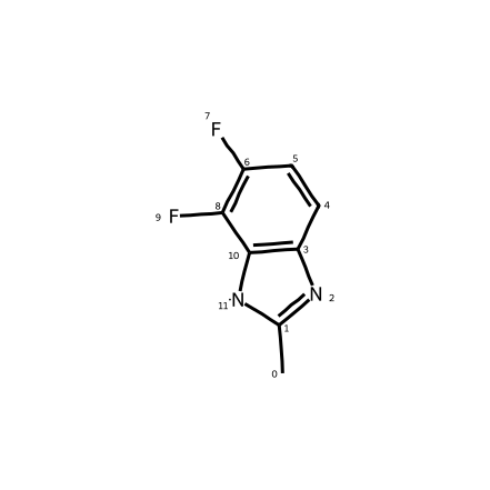 CC1=Nc2ccc(F)c(F)c2[N]1